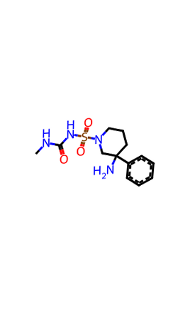 CNC(=O)NS(=O)(=O)N1CCCC(N)(c2ccccc2)C1